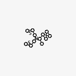 c1ccc(-c2cc(-c3cccc4c3-c3ccccc3C43c4ccccc4-c4ccccc43)cc(N(c3ccc(-c4cccc5c4sc4ccccc45)cc3)c3ccc(-c4cccc5c4sc4ccccc45)cc3)c2)cc1